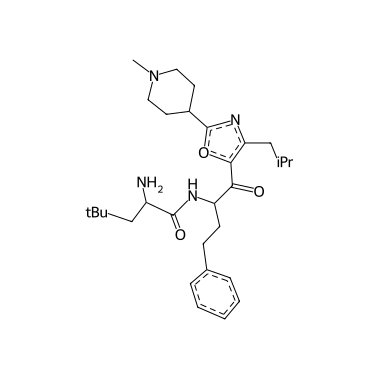 CC(C)Cc1nc(C2CCN(C)CC2)oc1C(=O)C(CCc1ccccc1)NC(=O)C(N)CC(C)(C)C